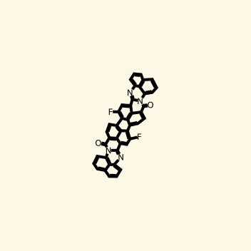 O=c1c2ccc3c4c(F)cc5c6c(ccc(c7c(F)cc(c2c37)c2nc3cccc7cccc(c73)n12)c46)c(=O)n1c2cccc3cccc(nc51)c32